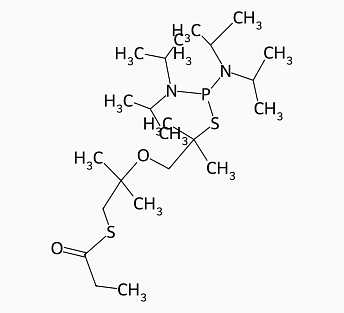 CCC(=O)SCC(C)(C)OCC(C)(C)SP(N(C(C)C)C(C)C)N(C(C)C)C(C)C